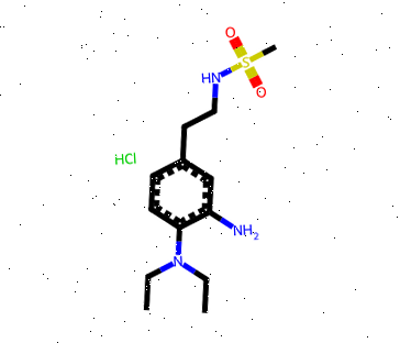 CCN(CC)c1ccc(CCNS(C)(=O)=O)cc1N.Cl